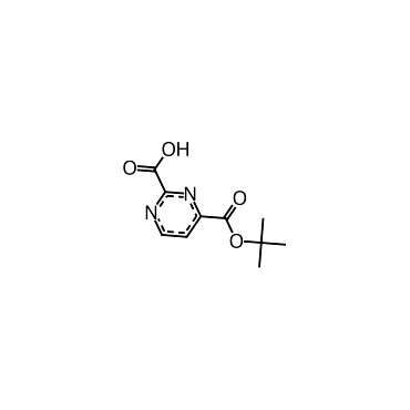 CC(C)(C)OC(=O)c1ccnc(C(=O)O)n1